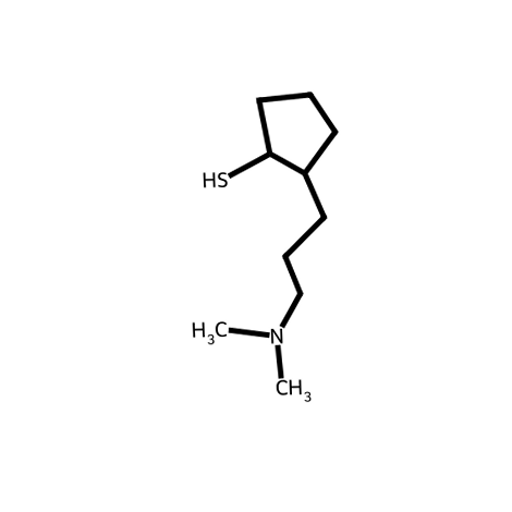 CN(C)CCCC1CCCC1S